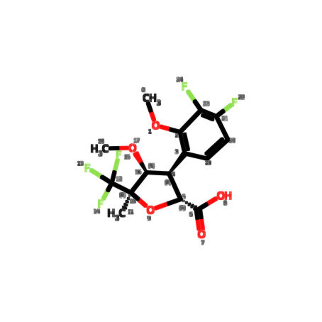 COc1c([C@H]2[C@H](C(=O)O)O[C@@](C)(C(F)(F)F)[C@H]2OC)ccc(F)c1F